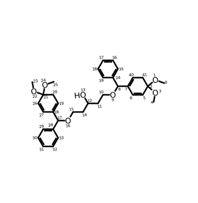 COC1(OC)C=CC(C(OCCC(O)CCOC(C2=CCC(OC)(OC)C=C2)c2ccccc2)c2ccccc2)=CC1